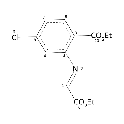 CCOC(=O)C=Nc1cc(Cl)ccc1C(=O)OCC